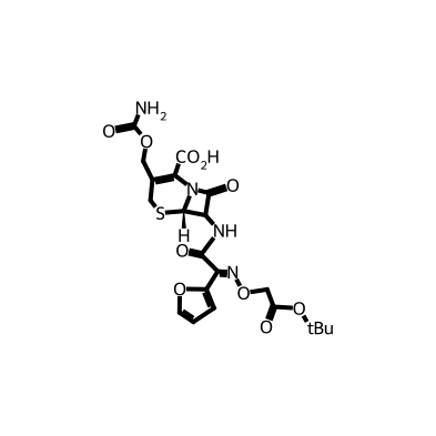 CC(C)(C)OC(=O)CON=C(C(=O)NC1C(=O)N2C(C(=O)O)=C(COC(N)=O)CS[C@@H]12)c1ccco1